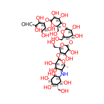 C[C@H]1O[C@H](O[C@H]2[C@H](O)[C@@H](O)[C@@H](O[C@H]3[C@H](O)[C@@H](O)[C@@H](O[C@H]4[C@H](O)[C@@H](O)[C@@H](O[C@@H]([C@H](O)[C@@H](O)C=O)[C@H](O)CO)O[C@@H]4CO)O[C@@H]3CO)O[C@@H]2CO)[C@H](O)[C@@H](O)[C@@H]1N[C@@H]1[C@H](O)[C@@H](O)[C@H](O)[C@@H](CO)[C@H]1O